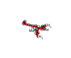 C/C=C1\CC2C=Nc3cc(OCc4cc(COc5cc6c(cc5OC)C(=O)N5C/C(=C/C)C[C@H]5C=N6)cc(C(C)(C)SCC(=O)NCCOCCOCCOCCOCCC(=O)ON5C(=O)CCC5=O)c4)c(OC)cc3C(=O)N2C1